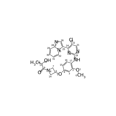 COc1cc(OC2CN(C(=O)[C@@H](C)O)C2)ccc1Nc1ncc(Cl)c(-c2cnc3ccccn23)n1